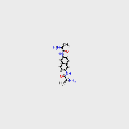 C=C(N)C(=O)Nc1ccc2cc(NC(=O)C(=C)N)ccc2c1